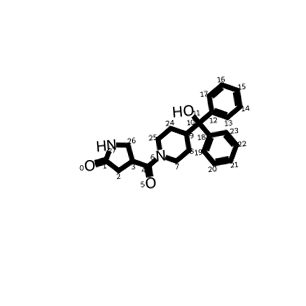 O=C1CC(C(=O)N2CCC(C(O)(c3ccccc3)c3ccccc3)CC2)CN1